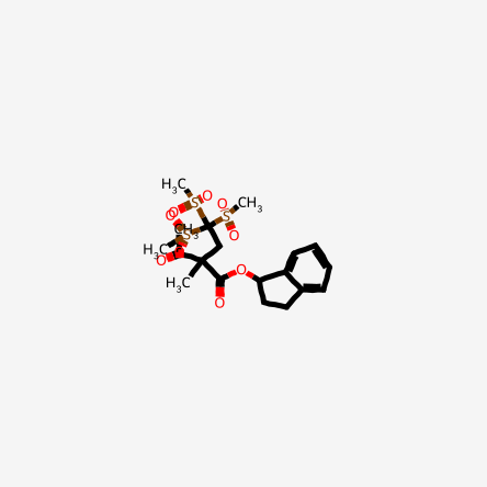 CC(=O)C(C)(CC(S(C)(=O)=O)(S(C)(=O)=O)S(C)(=O)=O)C(=O)OC1CCc2ccccc21